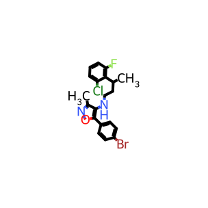 Cc1noc(-c2ccc(Br)cc2)c1NCCC(C)c1c(F)cccc1Cl